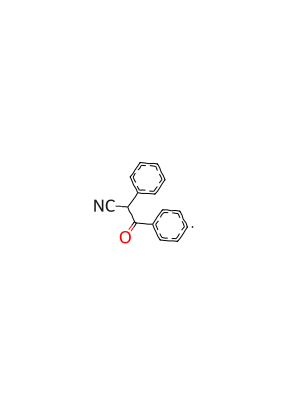 N#CC(C(=O)c1cc[c]cc1)c1ccccc1